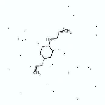 C=CCN[C@H]1CC[C@H](CC=C)CC1